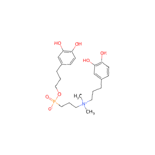 C[N+](C)(CCCc1ccc(O)c(O)c1)CCCP(=O)([O-])OCCCc1ccc(O)c(O)c1